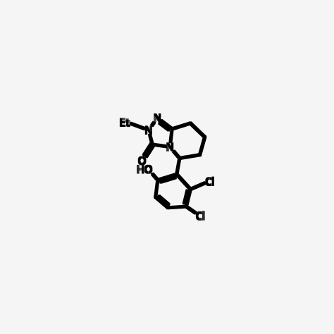 CCn1nc2n(c1=O)C(c1c(O)ccc(Cl)c1Cl)CCC2